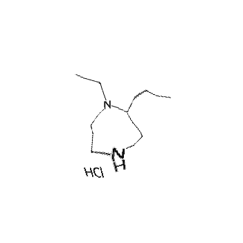 CCC1CNCCN1CC.Cl